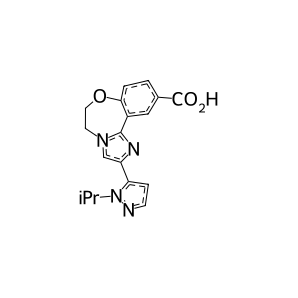 CC(C)n1nccc1-c1cn2c(n1)-c1cc(C(=O)O)ccc1OCC2